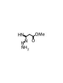 COC(=O)CC(=N)N=NN